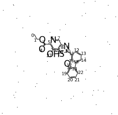 CCOC(=O)c1ncc2nc(-c3cccc4c3oc3ccccc34)sc2c1O